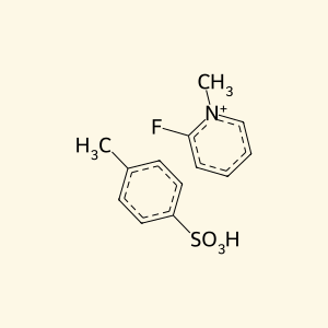 C[n+]1ccccc1F.Cc1ccc(S(=O)(=O)O)cc1